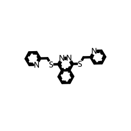 c1ccc(CSc2nnc(SCc3ccccn3)c3ccccc23)nc1